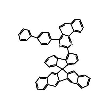 c1ccc(-c2ccc(-c3nc(-c4cccc5c4-c4ccccc4C54c5cc6ccccc6cc5-c5cc6ccccc6cc54)nc4c3ccc3ccccc34)cc2)cc1